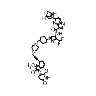 Cn1c(=O)n([C@H]2CCC(=O)NC2=O)c2cccc(C#CCN3CCN(CC4CCC(n5cc(NC(=O)c6cnn7ccc(N8C[C@H]9C[C@@H]8CO9)nc67)c(C(F)F)n5)CC4)CC3)c21